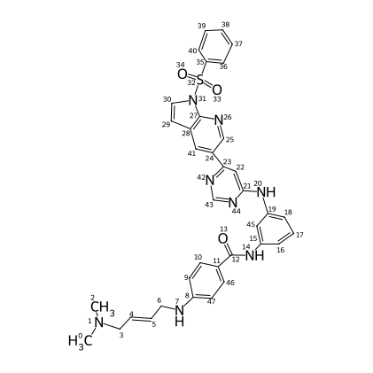 CN(C)C/C=C/CNc1ccc(C(=O)Nc2cccc(Nc3cc(-c4cnc5c(ccn5S(=O)(=O)c5ccccc5)c4)ncn3)c2)cc1